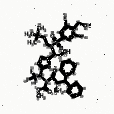 COC(=O)N(C(=O)[C@@H](N)C(c1ccccc1)c1ccccc1)[C@H](c1ccc([C@@H](CO)N(CCC(C)(C)C)S(=O)(=O)c2cc(F)c(CO)c(F)c2)s1)C(F)(F)F